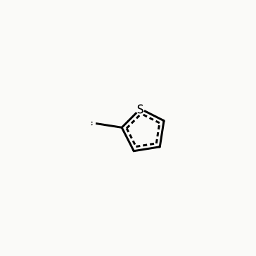 [CH]c1cccs1